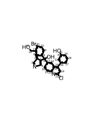 C=C1C=NC=C1C(O)(c1ccc(Br)c(CO)c1)c1ccc2nc(Cl)cc(-c3cccc(O)c3)c2c1